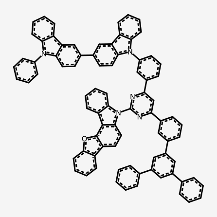 c1ccc(-c2cc(-c3ccccc3)cc(-c3cccc(-c4cc(-c5cccc(-n6c7ccccc7c7cc(-c8ccc9c(c8)c8ccccc8n9-c8ccccc8)ccc76)c5)nc(-n5c6ccccc6c6c7oc8ccccc8c7ccc65)n4)c3)c2)cc1